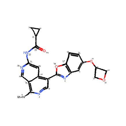 CNc1ncc(-c2nc3cc(OC4COC4)ccc3o2)c2cc(NC(=O)C3CC3)ncc12